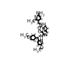 COc1ccc([C@H](CNc2ncc3n(c2=O)[C@H](C(=O)NCc2ccc(N)nc2C)CC3)c2ccc(OC)cn2)cc1